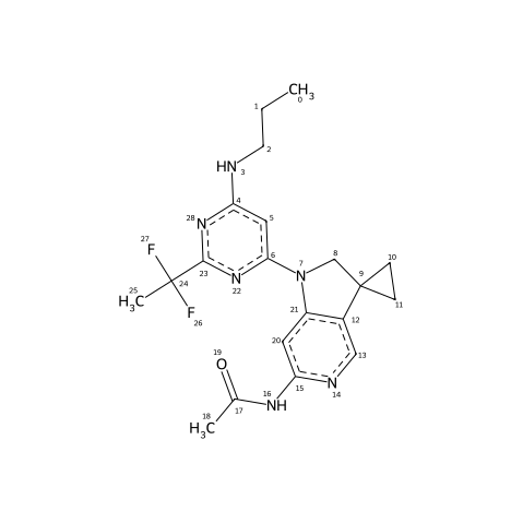 CCCNc1cc(N2CC3(CC3)c3cnc(NC(C)=O)cc32)nc(C(C)(F)F)n1